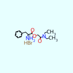 Br.CCN(CC)C(=O)COC(=O)[C@@H](N)Cc1ccccc1